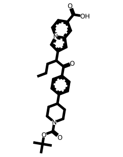 CCCC(C(=O)c1ccc(C2CCN(C(=O)OC(C)(C)C)CC2)cc1)c1cc2cc(C(=O)O)ccn2c1